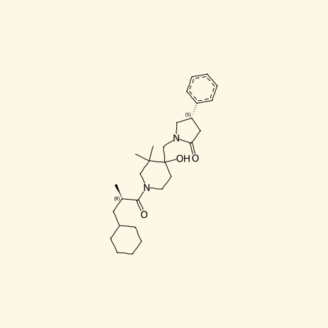 C[C@H](CC1CCCCC1)C(=O)N1CCC(O)(CN2C[C@H](c3ccccc3)CC2=O)C(C)(C)C1